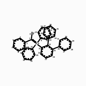 BrC(c1ccccc1)=P(c1ccccc1)(c1ccccc1)c1cccc(-c2ccccc2)c1-c1ccccc1